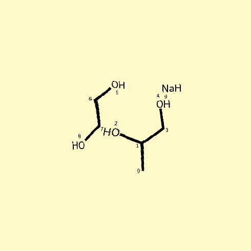 CC(O)CO.OCCO.[NaH]